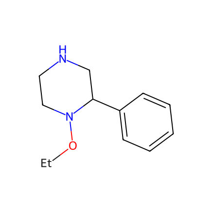 CCON1CCNCC1c1ccccc1